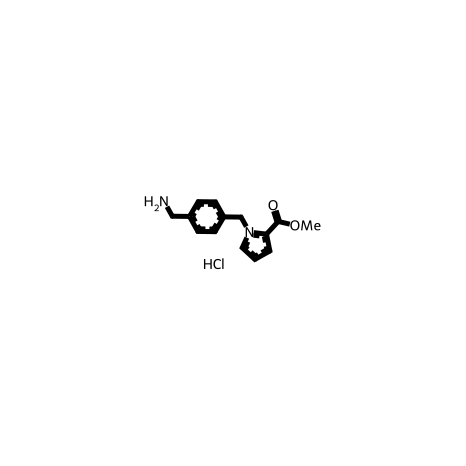 COC(=O)c1cccn1Cc1ccc(CN)cc1.Cl